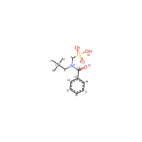 C[Si](C)(C)CN(CS(=O)(=O)O)C(=O)c1ccccc1